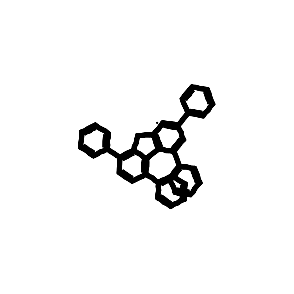 [c]1c(-c2ccccc2)cc(-c2ccccc2)c2c1Cc1c(-c3ccccc3)ccc(-c3ccccc3)c1-2